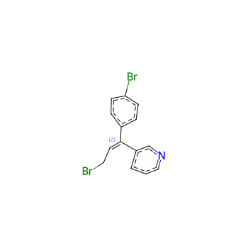 BrC/C=C(/c1ccc(Br)cc1)c1cccnc1